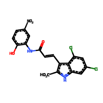 O=C(C=Cc1c(C(=O)O)[nH]c2cc(Cl)cc(Cl)c12)Nc1cc([N+](=O)[O-])ccc1O